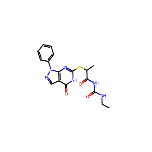 CCNC(=O)NC(=O)C(C)Sc1nc2c(cnn2-c2ccccc2)c(=O)[nH]1